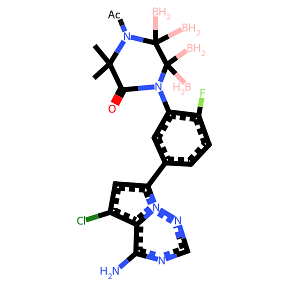 BC1(B)N(c2cc(-c3cc(Cl)c4c(N)ncnn34)ccc2F)C(=O)C(C)(C)N(C(C)=O)C1(B)B